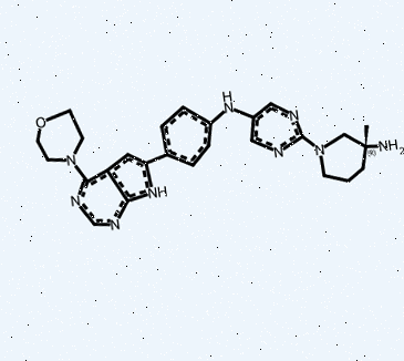 C[C@@]1(N)CCCN(c2ncc(Nc3ccc(-c4cc5c(N6CCOCC6)ncnc5[nH]4)cc3)cn2)C1